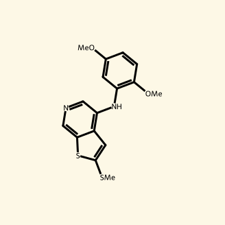 COc1ccc(OC)c(Nc2cncc3sc(SC)cc23)c1